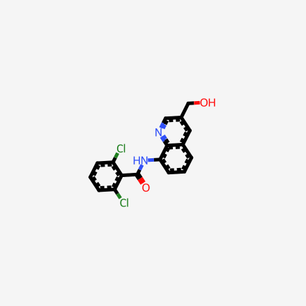 O=C(Nc1cccc2cc(CO)cnc12)c1c(Cl)cccc1Cl